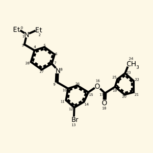 CCN(CC)Cc1ccc(N=Cc2cc(Br)cc(OC(=O)c3cccc(C)c3)c2)cc1